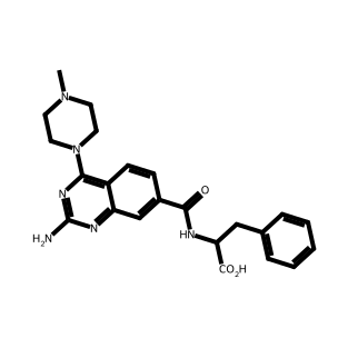 CN1CCN(c2nc(N)nc3cc(C(=O)NC(Cc4ccccc4)C(=O)O)ccc23)CC1